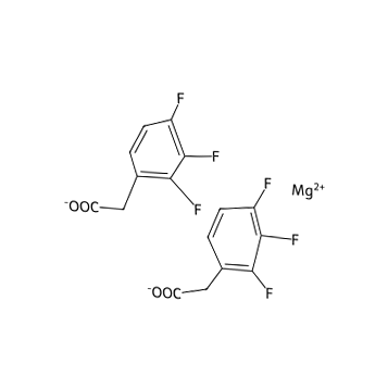 O=C([O-])Cc1ccc(F)c(F)c1F.O=C([O-])Cc1ccc(F)c(F)c1F.[Mg+2]